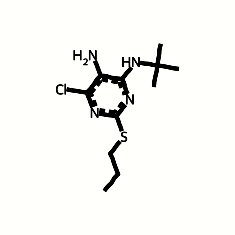 CCCSc1nc(Cl)c(N)c(NC(C)(C)C)n1